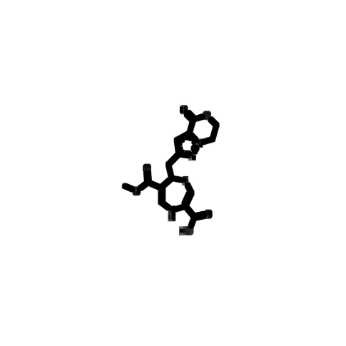 COC(=O)C1=CNC(C(=O)O)=CSC1Cc1cc2n(n1)CCOC2=O